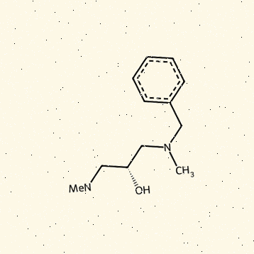 CNC[C@@H](O)CN(C)Cc1ccccc1